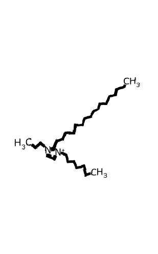 CCCCCCCCCCCCCCCCCc1n(CCC)cc[n+]1CCCCCCC